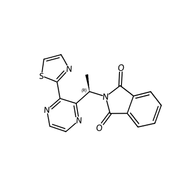 C[C@H](c1nccnc1-c1nccs1)N1C(=O)c2ccccc2C1=O